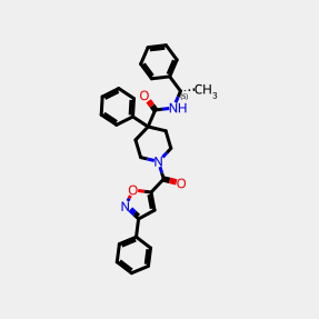 C[C@H](NC(=O)C1(c2ccccc2)CCN(C(=O)c2cc(-c3ccccc3)no2)CC1)c1ccccc1